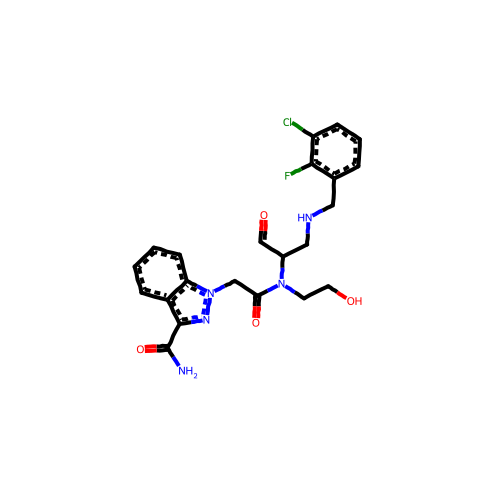 NC(=O)c1nn(CC(=O)N(CCO)C(C=O)CNCc2cccc(Cl)c2F)c2ccccc12